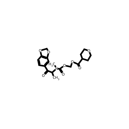 CC(C(=O)c1ccc2c(c1)OCO2)N(C)C(=O)OCOC(=O)C1CCOCC1